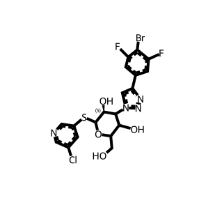 OCC1OC(Sc2cncc(Cl)c2)[C@@H](O)C(n2cc(-c3cc(F)c(Br)c(F)c3)nn2)C1O